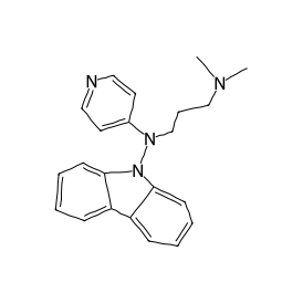 CN(C)CCCN(c1ccncc1)n1c2ccccc2c2ccccc21